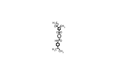 CCC(C)c1ccc(NC(=O)N2CCN(S(=O)(=O)c3cc(C(=O)OC)n(C)c3)CC2)cc1